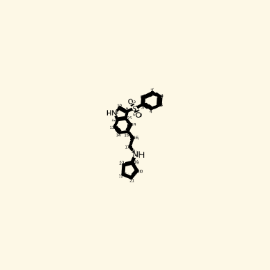 O=S(=O)(c1ccccc1)c1c[nH]c2ccc(CCNC3CCCC3)cc12